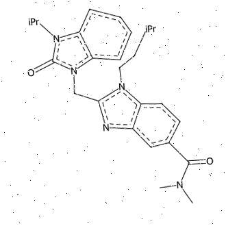 CC(C)CCn1c(Cn2c(=O)n(C(C)C)c3ccccc32)nc2cc(C(=O)N(C)C)ccc21